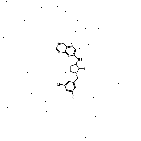 Clc1cc(Cl)cc(CN2CCC(Nc3ccc4cnccc4c3)C2I)c1